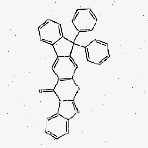 O=c1c2cc3c(cc2sc2nc4ccccc4n12)C(c1ccccc1)(c1ccccc1)c1ccccc1-3